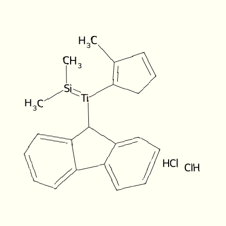 CC1=[C]([Ti]([CH]2c3ccccc3-c3ccccc32)=[Si](C)C)CC=C1.Cl.Cl